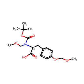 COCOc1ccc(C[C@@H](C(=O)O)N(COC)C(=O)OC(C)(C)C)cc1